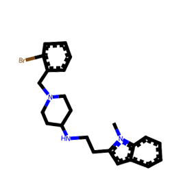 Cn1c(CCNC2CCN(Cc3ccccc3Br)CC2)cc2ccccc21